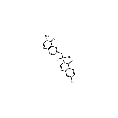 CC(C)(C)n1cnc2ncc(CC(C)(C)n3cnc4nc(Cl)ccc4c3=O)cc2c1=O